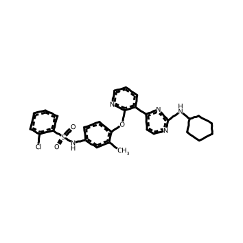 Cc1cc(NS(=O)(=O)c2ccccc2Cl)ccc1Oc1ncccc1-c1ccnc(NC2CCCCC2)n1